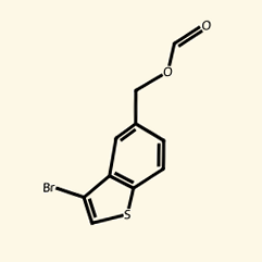 O=COCc1ccc2scc(Br)c2c1